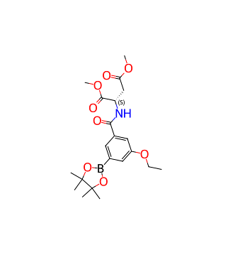 CCOc1cc(B2OC(C)(C)C(C)(C)O2)cc(C(=O)N[C@@H](CC(=O)OC)C(=O)OC)c1